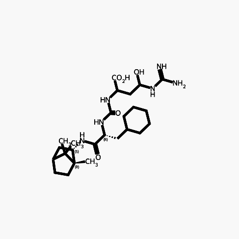 CC1(C)C2CC[C@@]1(C)[C@@H](NC(=O)[C@@H](CC1CCCCC1)NC(=O)NC(CC(O)NC(=N)N)C(=O)O)C2